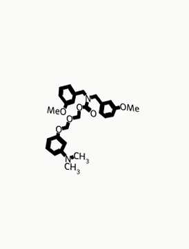 COc1cccc(CN(Cc2cccc(OC)c2)C(=O)OCOCOc2cccc(N(C)C)c2)c1